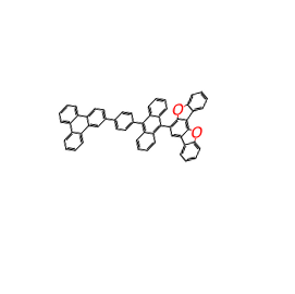 c1ccc2c(c1)oc1c2cc(-c2c3ccccc3c(-c3ccc(-c4ccc5c6ccccc6c6ccccc6c5c4)cc3)c3ccccc23)c2oc3ccccc3c21